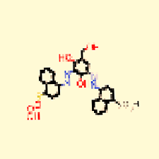 O=S(=O)(O)c1ccc(N=Nc2cc(CO)c(O)c(N=Nc3ccc(SOOO)c4ccccc34)c2O)c2ccccc12